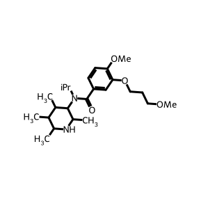 COCCCOc1cc(C(=O)N(C(C)C)C2C(C)NC(C)C(C)C2C)ccc1OC